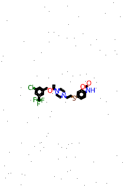 C=C(OCc1cc(Cl)cc(C(F)(F)F)c1)N1CCN(CCSc2ccc3[nH]c(=O)oc3c2)CC1